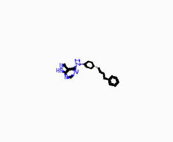 C(=C[C@H]1CC[C@H](Nc2ncnc3[nH]ncc23)CC1)CCc1ccccc1